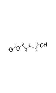 [O]COCCCCCO